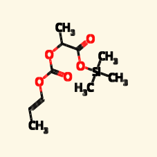 CC=COC(=O)OC(C)C(=O)O[Si](C)(C)C